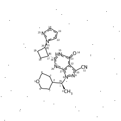 C[C@@H](C1CCOCC1)n1nc(C#N)c2c(=O)[nH]c([C@@H]3CC[C@H]3n3cccn3)nc21